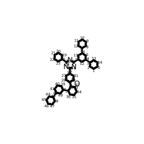 c1ccc(-c2cc(-c3ccccc3)cc(-c3nc(-c4ccccc4)nc(-c4ccc5c(c4)oc4cccc(-c6cccc(-c7ccccc7)c6)c45)n3)c2)cc1